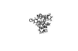 Cc1cc(Cl)cc(C2=NOC(NC(=O)c3ccccc3)C2)c1NC(=O)c1cc(Br)nn1-c1ncccc1Cl